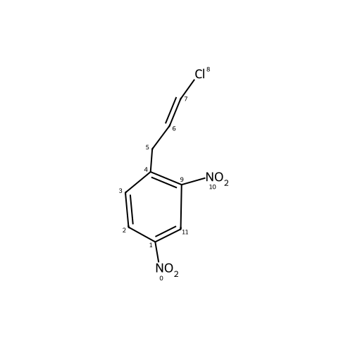 O=[N+]([O-])c1ccc(CC=CCl)c([N+](=O)[O-])c1